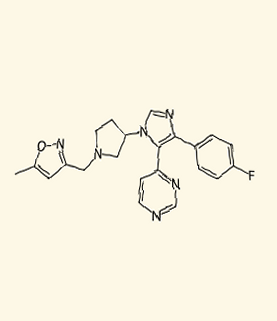 Cc1cc(CN2CCC(n3cnc(-c4ccc(F)cc4)c3-c3ccncn3)C2)no1